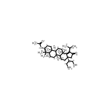 CC(=O)O[C@H]1CC[C@]2(C)[C@H]3CC[C@@H]4C5=C(C(C)C)C(=O)C[C@]5(C(CN)CO)CC[C@@]4(C)[C@]3(C)CC[C@H]2C1(C)C